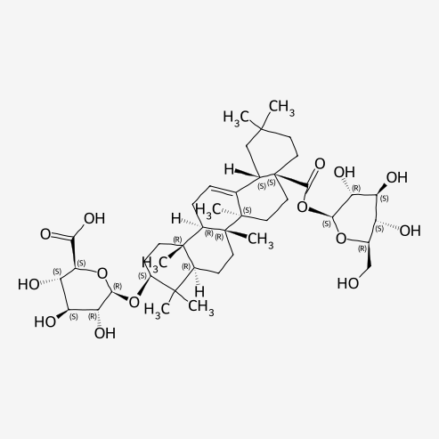 CC1(C)CC[C@]2(C(=O)O[C@@H]3O[C@H](CO)[C@@H](O)[C@H](O)[C@H]3O)CC[C@]3(C)C(=CC[C@@H]4[C@@]5(C)CC[C@H](O[C@@H]6O[C@H](C(=O)O)[C@@H](O)[C@H](O)[C@H]6O)C(C)(C)[C@@H]5CC[C@]43C)[C@@H]2C1